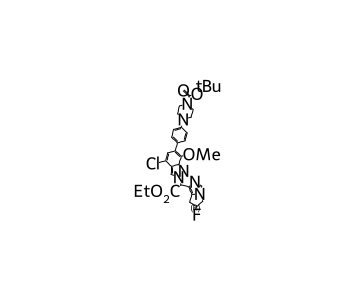 CCOC(=O)C(c1ncn2c1C[C@@H](F)C2)n1cc2c(Cl)cc(-c3ccc(N4CCN(C(=O)OC(C)(C)C)CC4)cc3)c(OC)c2n1